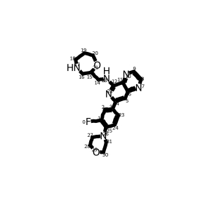 Fc1cc(-c2cc3nccnc3c(NCC3CNCCCO3)n2)ccc1N1CCOCC1